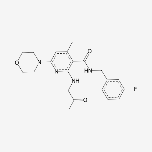 CC(=O)CNc1nc(N2CCOCC2)cc(C)c1C(=O)NCc1cccc(F)c1